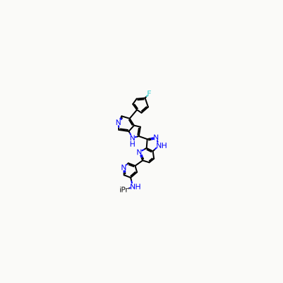 CC(C)Nc1cncc(-c2ccc3[nH]nc(-c4cc5c(-c6ccc(F)cc6)cncc5[nH]4)c3n2)c1